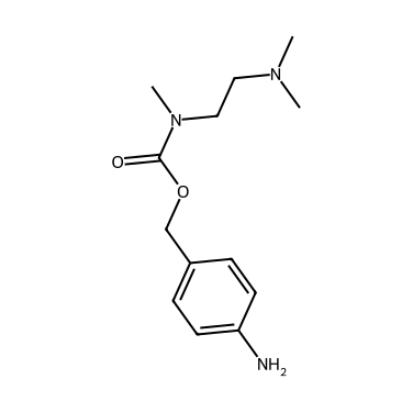 CN(C)CCN(C)C(=O)OCc1ccc(N)cc1